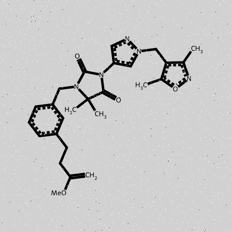 C=C(CCc1cccc(CN2C(=O)N(c3cnn(Cc4c(C)noc4C)c3)C(=O)C2(C)C)c1)OC